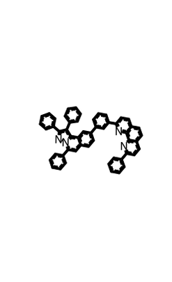 c1ccc(-c2ccc3ccc4ccc(-c5cccc(-c6ccc7cc(-c8ccccc8)n8nc(-c9ccccc9)c(-c9ccccc9)c8c7c6)c5)nc4c3n2)cc1